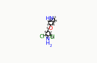 Nc1c(Cl)cc(COc2ccc3[nH]c[c]c3c2)cc1Cl